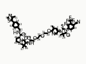 Cc1cc(N2C(=S)N(c3ccc(C#N)c(C(F)(F)F)c3F)C(=O)C2(C)C)cnc1OCCOCCOCC(=O)NC(C(=O)N1CCC[C@H]1C(=O)NCc1ccc(-c2scnc2C)cc1)C(C)(C)C